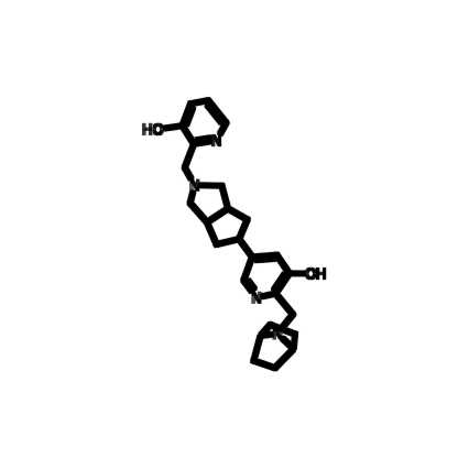 Oc1cccnc1CN1CC2CC(c3cnc(CN4C5CCC4CC5)c(O)c3)CC2C1